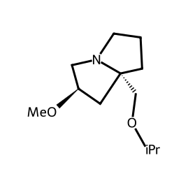 CO[C@H]1CN2CCC[C@@]2(COC(C)C)C1